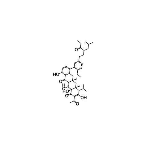 CCC(=O)C(CCc1ccc(CC)c(-c2ccc(O)c3c2C[C@]2(C)C[C@]4(C)C(C(C)C)C(O)=C(C(C)=O)C(=O)[C@]4(O)C(O)=C2C3=O)c1)CC(C)C